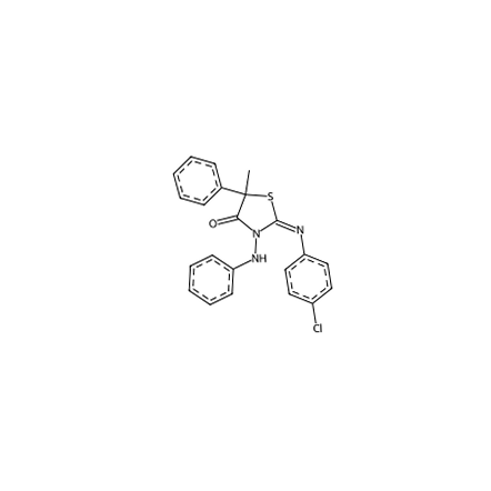 CC1(c2ccccc2)S/C(=N/c2ccc(Cl)cc2)N(Nc2ccccc2)C1=O